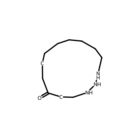 O=C1CCCCCCCCNNNCC1